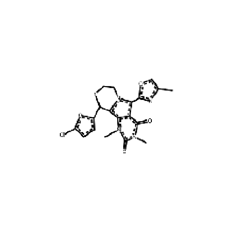 Cc1coc(-c2c3c(=O)n(C)c(=O)n(C)c3c3n2CCSC3c2ccc(Cl)o2)n1